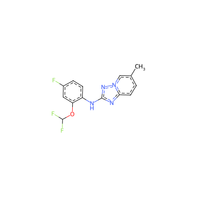 Cc1ccc2nc(Nc3ccc(F)cc3OC(F)F)nn2c1